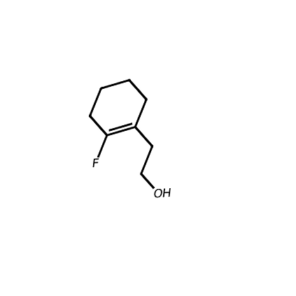 OCCC1=C(F)CCCC1